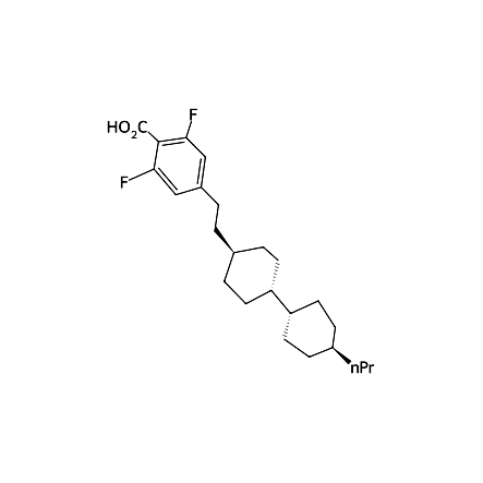 CCC[C@H]1CC[C@H]([C@H]2CC[C@H](CCc3cc(F)c(C(=O)O)c(F)c3)CC2)CC1